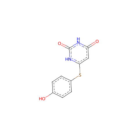 O=c1cc(Sc2ccc(O)cc2)[nH]c(=O)[nH]1